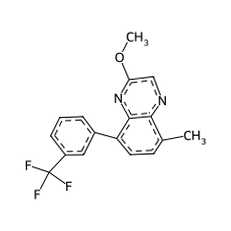 COc1cnc2c(C)ccc(-c3cccc(C(F)(F)F)c3)c2n1